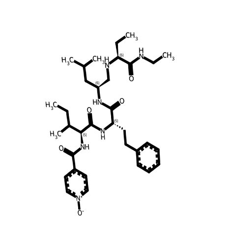 CCNC(=O)[C@H](CC)NC[C@H](CC(C)C)NC(=O)[C@H](CCc1ccccc1)NC(=O)[C@@H](NC(=O)c1cc[n+]([O-])cc1)C(C)CC